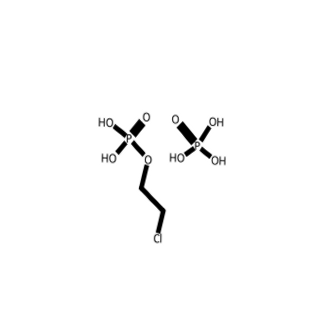 O=P(O)(O)O.O=P(O)(O)OCCCl